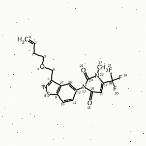 C=CCCOCc1nsc2ccc(-n3c(=O)cc(C(F)(F)F)n(C)c3=O)cc12